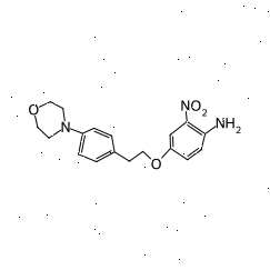 Nc1ccc(OCCc2ccc(N3CCOCC3)cc2)cc1[N+](=O)[O-]